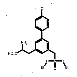 CCOP(=O)(Cc1cc(CC(N)C(=O)O)cc(-c2ccc(Cl)cc2)c1)OCC